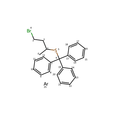 CC(CCBr)SC(c1ccccc1)(c1ccccc1)c1ccccc1.[Ar]